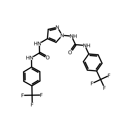 O=C(Nc1ccc(C(F)(F)F)cc1)Nc1cnn(NC(=O)Nc2ccc(C(F)(F)F)cc2)c1